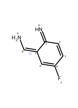 N=C1C=CC(F)=C/C1=C/N